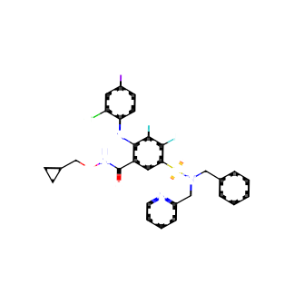 O=C(NOCC1CC1)c1cc(S(=O)(=O)N(Cc2ccccc2)Cc2ccccn2)c(F)c(F)c1Nc1ccc(I)cc1Cl